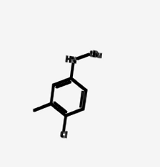 Cc1cc(NC(C)(C)C)ccc1Cl